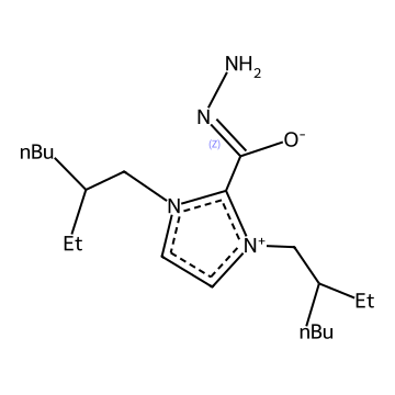 CCCCC(CC)Cn1cc[n+](CC(CC)CCCC)c1/C([O-])=N/N